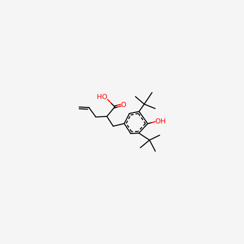 C=CCC(Cc1cc(C(C)(C)C)c(O)c(C(C)(C)C)c1)C(=O)O